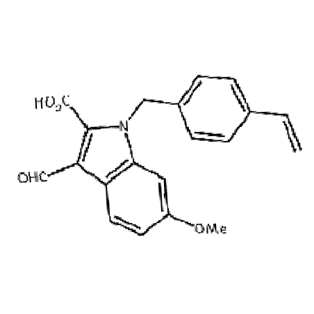 C=Cc1ccc(Cn2c(C(=O)O)c(C=O)c3ccc(OC)cc32)cc1